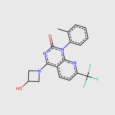 Cc1ccccc1-n1c(=O)nc(N2CC(O)C2)c2ccc(C(F)(F)F)nc21